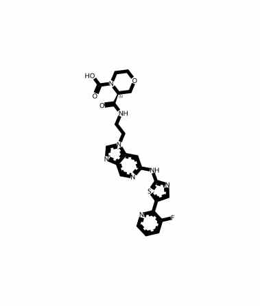 O=C(NCCn1cnc2cnc(Nc3ncc(-c4ncccc4F)s3)cc21)[C@@H]1COCCN1C(=O)O